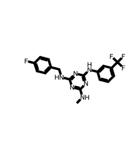 CNc1nc(NCc2ccc(F)cc2)nc(Nc2cccc(C(F)(F)F)c2)n1